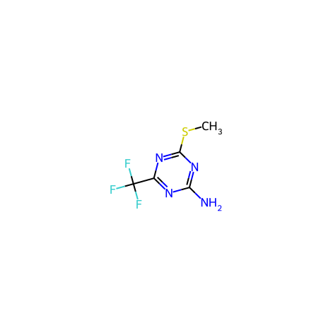 CSc1nc(N)nc(C(F)(F)F)n1